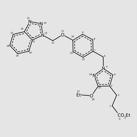 CCOC(=O)CCc1cn(Cc2ccc(OCn3nnc4ccccc43)cc2)nc1OCC